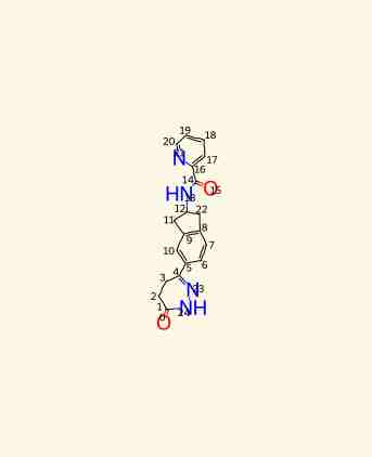 O=C1CCC(c2ccc3c(c2)CC(NC(=O)c2ccccn2)C3)=NN1